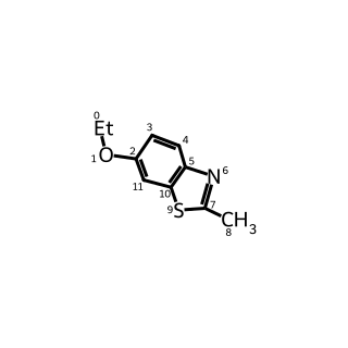 CCOc1ccc2nc(C)sc2c1